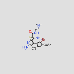 COc1ccc(-c2c(C#N)c(N)nc3sc(C(=O)NCCN(C)C)c(N)c23)cc1Br